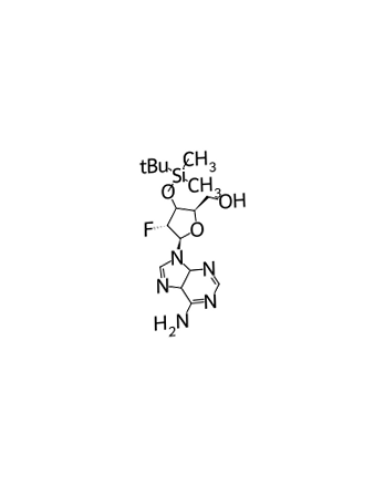 CC(C)(C)[Si](C)(C)OC1[C@@H](F)[C@H](N2C=NC3C(N)=NC=NC32)O[C@@H]1CO